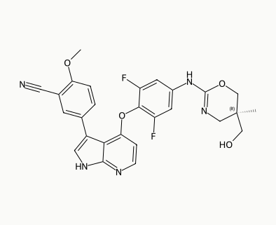 COc1ccc(-c2c[nH]c3nccc(Oc4c(F)cc(NC5=NC[C@](C)(CO)CO5)cc4F)c23)cc1C#N